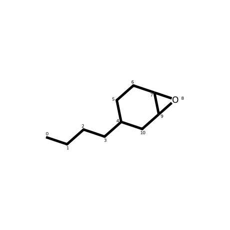 CCCCC1CCC2OC2C1